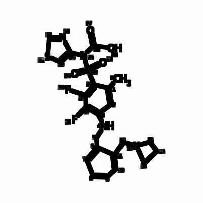 Cc1cc(NCc2ccccc2CN2CCC2)c(F)c(F)c1S(=O)(=O)N(C(=O)O)c1cscn1